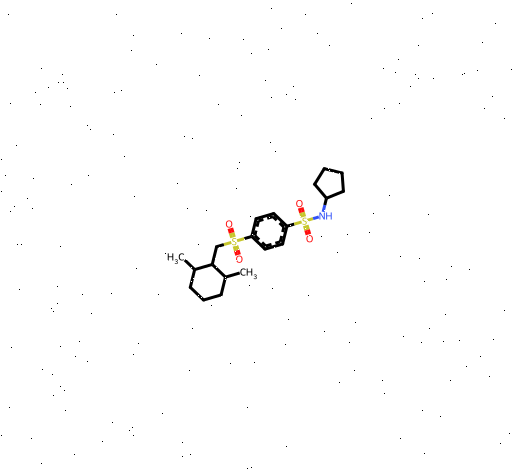 CC1CCCC(C)C1CS(=O)(=O)c1ccc(S(=O)(=O)NC2CCCC2)cc1